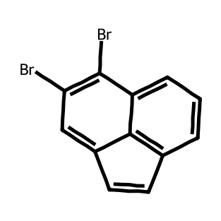 Brc1cc2c3c(cccc3c1Br)C=C2